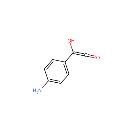 Nc1ccc(C(O)=C=O)cc1